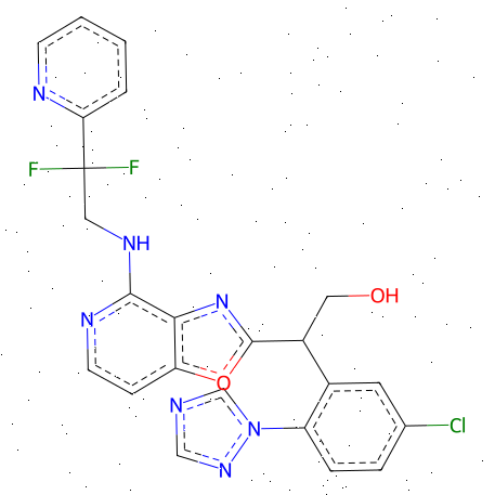 OCC(c1nc2c(NCC(F)(F)c3ccccn3)nccc2o1)c1cc(Cl)ccc1-n1cncn1